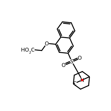 O=C(O)COc1cc(S(=O)(=O)N2CC3CCC(CC3)C2)cc2ccccc12